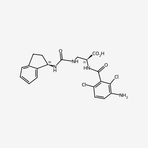 Nc1ccc(Cl)c(C(=O)N[C@@H](CNC(=O)N[C@@H]2CCc3ccccc32)C(=O)O)c1Cl